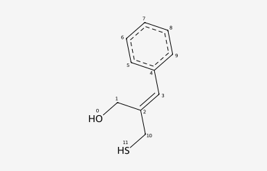 OC/C(=C\c1ccccc1)CS